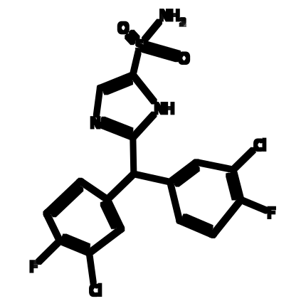 NS(=O)(=O)c1cnc(C(c2ccc(F)c(Cl)c2)c2ccc(F)c(Cl)c2)[nH]1